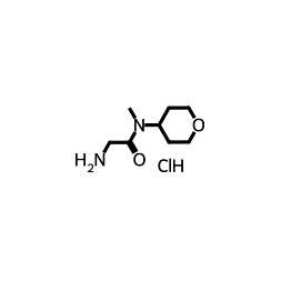 CN(C(=O)CN)C1CCOCC1.Cl